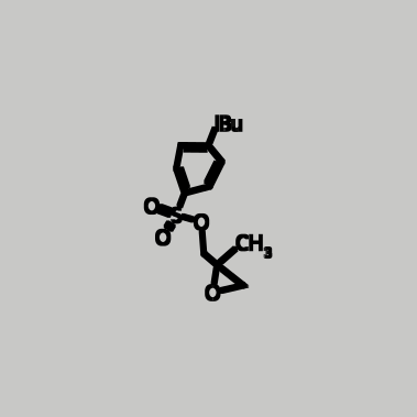 CCC(C)c1ccc(S(=O)(=O)OCC2(C)CO2)cc1